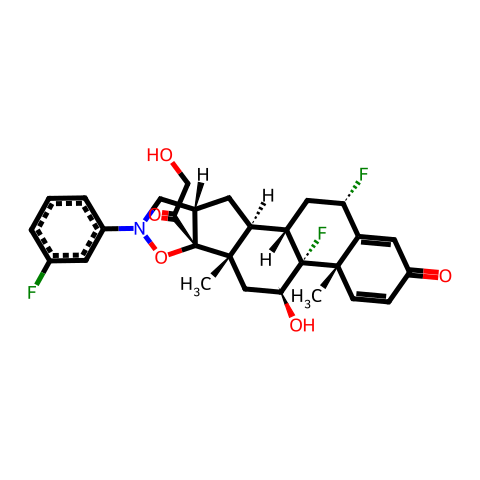 C[C@]12C=CC(=O)C=C1[C@@H](F)C[C@H]1[C@@H]3C[C@H]4CN(c5cccc(F)c5)O[C@@]4(C(=O)CO)[C@@]3(C)C[C@H](O)[C@@]12F